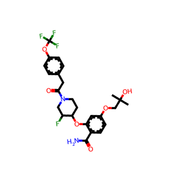 CC(C)(O)COc1ccc(C(N)=O)c(OC2CCN(C(=O)Cc3ccc(OC(F)(F)F)cc3)CC2F)c1